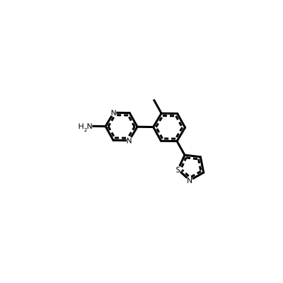 Cc1ccc(-c2ccns2)cc1-c1cnc(N)cn1